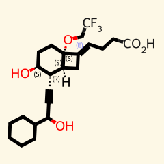 O=C(O)CC/C=C1\C[C@H]2[C@H](C#CC(O)C3CCCCC3)[C@@H](O)CC[C@@]12OCC(F)(F)F